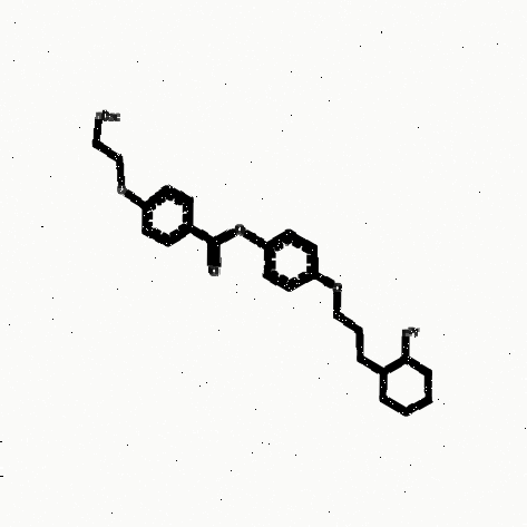 CCCCCCCCCCCCOc1ccc(C(=O)Oc2ccc(OCCCC3CCCCC3CCC)cc2)cc1